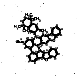 Cc1cc2c(cc1N1c3cc4c(cc3B3c5c(cc(C(C)(C)C)cc51)-c1cccc5c6oc7ccccc7c6n3c15)oc1ccccc14)C(C)(C)CCC2(C)C